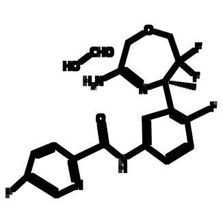 C[C@]1(c2cc(NC(=O)c3ccc(F)cn3)ccc2F)N=C(N)COCC1(F)F.O=CO